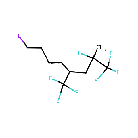 CC(F)(CC(CCCCI)C(F)(F)F)C(F)(F)F